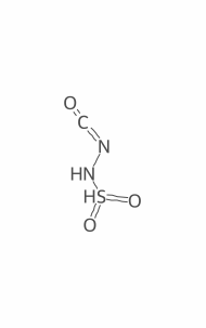 O=C=NN[SH](=O)=O